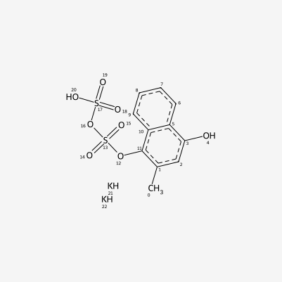 Cc1cc(O)c2ccccc2c1OS(=O)(=O)OS(=O)(=O)O.[KH].[KH]